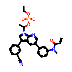 C=CC(=O)N(C)c1cccc(-c2cnc3c(c2)c(-c2cccc(C#N)c2)cn3C(C)OP(=O)(O)OCC)c1